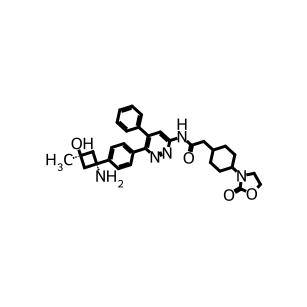 C[C@]1(O)C[C@@](N)(c2ccc(-c3nnc(NC(=O)CC4CCC(N5CCOC5=O)CC4)cc3-c3ccccc3)cc2)C1